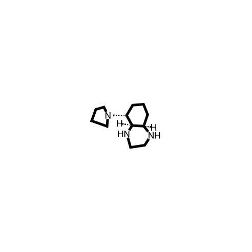 C1C[C@@H](N2CCCC2)[C@@H]2NCCN[C@@H]2C1